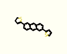 C1=C(c2ccc3cc4cc(-c5cccs5)ccc4cc3c2)SCC1